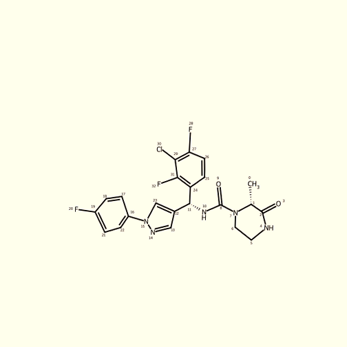 C[C@@H]1C(=O)NCCN1C(=O)N[C@H](c1cnn(-c2ccc(F)cc2)c1)c1ccc(F)c(Cl)c1F